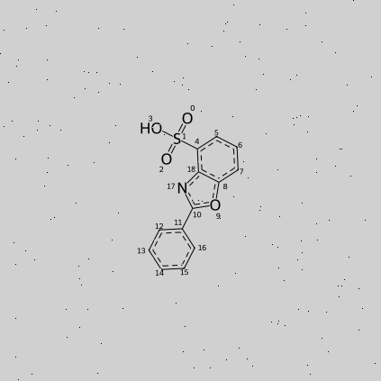 O=S(=O)(O)c1cccc2oc(-c3ccccc3)nc12